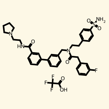 NS(=O)(=O)c1ccc(CCN(Cc2cccc(-c3cccc(C(=O)NCCN4CCCC4)c3)c2)C(=O)Cc2cccc(F)c2)cc1.O=C(O)C(F)(F)F